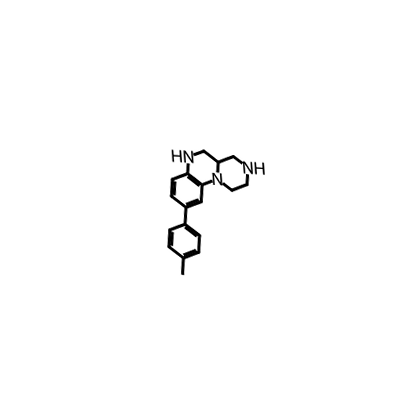 Cc1ccc(-c2ccc3c(c2)N2CCNCC2CN3)cc1